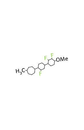 COC1CCC(C2CCC(C3CCCC(C)CC3)C(F)C2)C(F)C1F